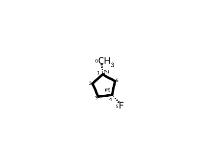 C[C@H]1CC[C@@H](F)C1